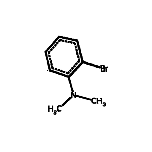 CN(C)c1[c]cccc1Br